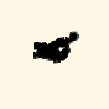 CCC(=O)O[C@@H]1CC(=O)O[C@H](C)CCN(CCCCc2ccccc2)C[C@H](O)[C@H](C)C[C@H](CC(OC)OC)[C@H]([C@@H]2O[C@H](C)[C@@H](O[C@@H]3C[C@@](C)(O)[C@@H](OC(=O)CC)[C@H](C)O3)[C@H](N(C)C)[C@H]2O)[C@@H]1OC